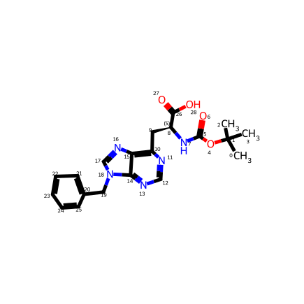 CC(C)(C)OC(=O)N[C@@H](Cc1ncnc2c1ncn2Cc1ccccc1)C(=O)O